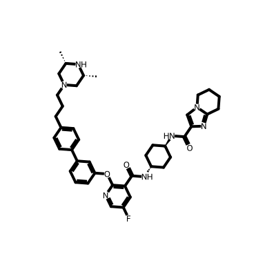 C[C@@H]1CN(CCCc2ccc(-c3cccc(Oc4ncc(F)cc4C(=O)N[C@H]4CC[C@H](NC(=O)c5cn6c(n5)CCCC6)CC4)c3)cc2)C[C@H](C)N1